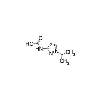 CC(C)n1ccc(NC(=O)O)n1